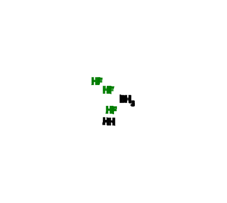 B.F.F.F.[HH]